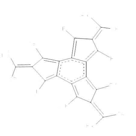 CC(=C1C(F)=c2c(c3c(c4c2=C(F)C(=C(C(F)(F)F)C(F)(F)F)C=4F)=C(F)C(=C(C(F)(F)F)C(F)(F)F)C=3F)=C1F)C(F)(F)F